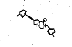 Cc1ccc(CN2CCN3CC(C#Cc4cccc(C)c4)=CC3C2=O)cc1